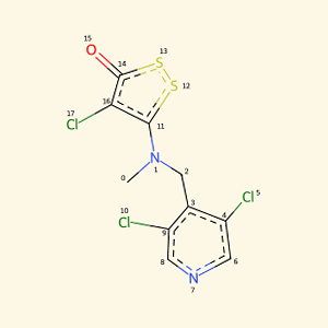 CN(Cc1c(Cl)cncc1Cl)c1ssc(=O)c1Cl